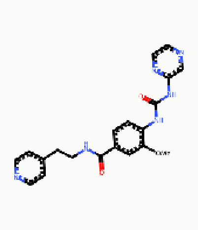 COc1cc(C(=O)NCCc2ccncc2)ccc1NC(=O)Nc1cnccn1